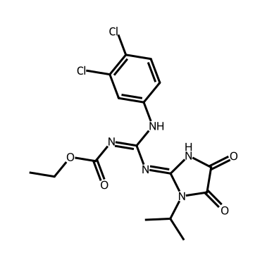 CCOC(=O)N=C(N=C1NC(=O)C(=O)N1C(C)C)Nc1ccc(Cl)c(Cl)c1